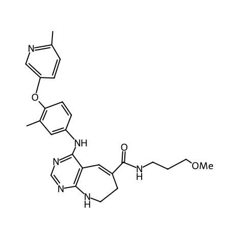 COCCCNC(=O)C1=Cc2c(ncnc2Nc2ccc(Oc3ccc(C)nc3)c(C)c2)NCC1